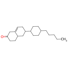 CCCCCC1CCC(C2CC=C3CC(=O)CCC3C2)CC1